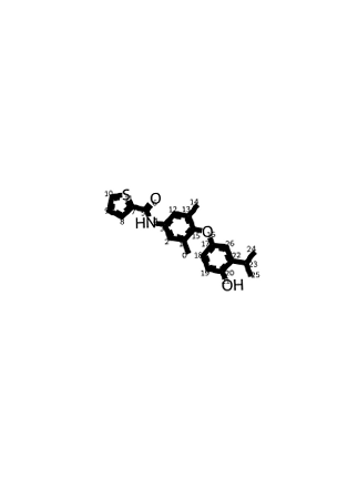 Cc1cc(NC(=O)c2cccs2)cc(C)c1Oc1ccc(O)c(C(C)C)c1